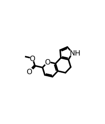 COC(=O)C1C=CC2=C(O1)c1cc[nH]c1CC2